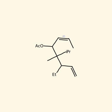 C=CC(CC)C(C)(C(C)C)C(/C=C\C)OC(C)=O